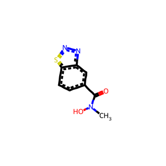 CN(O)C(=O)c1ccc2snnc2c1